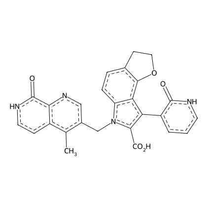 Cc1c(Cn2c(C(=O)O)c(-c3ccc[nH]c3=O)c3c4c(ccc32)CCO4)cnc2c(=O)[nH]ccc12